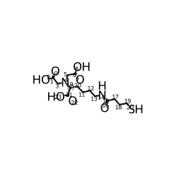 O=C(O)CN(CC(=O)O)[C@@H](CCCCNC(=O)CCCS)C(=O)O